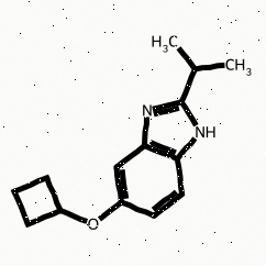 CC(C)c1nc2cc(OC3CCC3)ccc2[nH]1